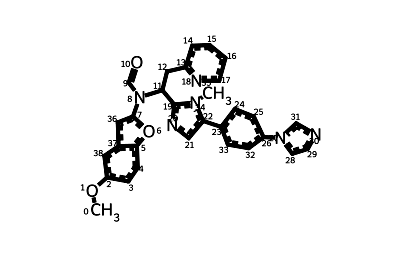 COc1ccc2oc(N(C=O)C(Cc3ccccn3)c3ncc(-c4ccc(-n5ccnc5)cc4)n3C)cc2c1